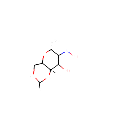 CO[C@H]1OC2COC(C)O[C@H]2C(O)C1NO